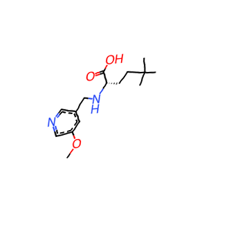 COc1cncc(CN[C@@H](CCC(C)(C)C)C(=O)O)c1